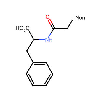 CCCCCCCCCCC(=O)NC(Cc1ccccc1)C(=O)O